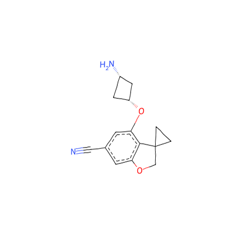 N#Cc1cc2c(c(O[C@H]3C[C@@H](N)C3)c1)C1(CC1)CO2